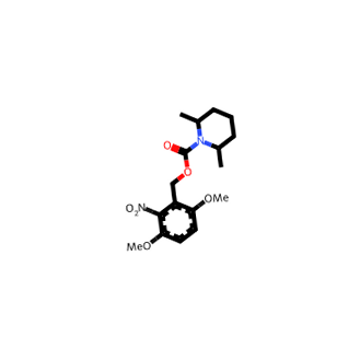 COc1ccc(OC)c([N+](=O)[O-])c1COC(=O)N1C(C)CCCC1C